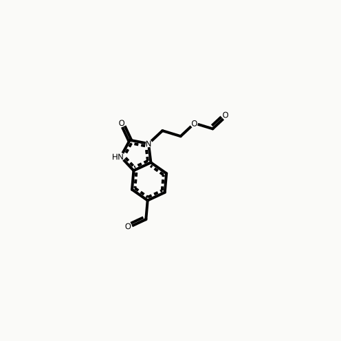 O=COCCn1c(=O)[nH]c2cc(C=O)ccc21